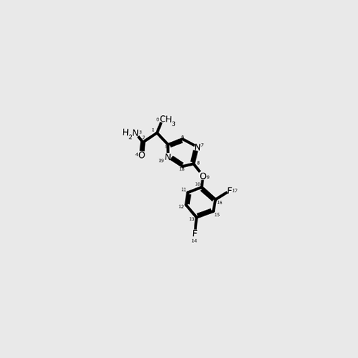 CC(C(N)=O)c1cnc(Oc2ccc(F)cc2F)cn1